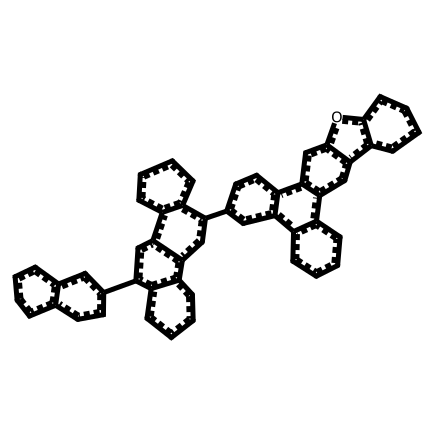 c1ccc2cc(-c3cc4c5ccccc5c(-c5ccc6c(c5)c5ccccc5c5cc7c(cc65)oc5ccccc57)cc4c4ccccc34)ccc2c1